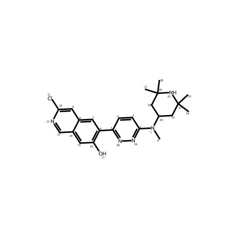 CN(c1ccc(-c2cc3cc(Cl)ncc3cc2O)nn1)C1CC(C)(C)NC(C)(C)C1